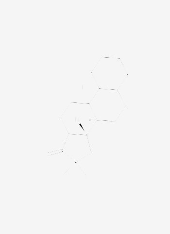 CC1(C)C[C@H]2[C@@H]3CCC4CCCC[C@]4(C)[C@@H]3CC[C@]2(C)C1=O